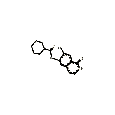 O=C(Nc1cc2cc[nH]c(=O)c2cc1Cl)C1CCCCC1